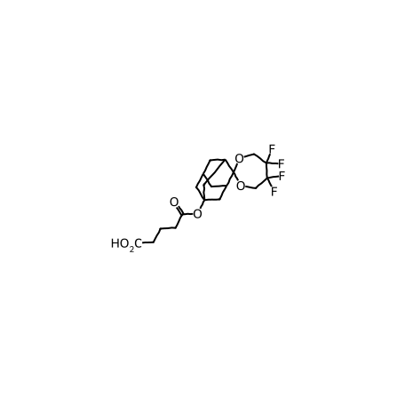 O=C(O)CCCC(=O)OC12CC3CC(C1)C1(OCC(F)(F)C(F)(F)CO1)C(C3)C2